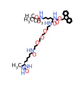 C[C@@H]1NC(=O)N[C@@H]1CCCCCC(=O)NCCCOCCOCCOCCCNC(=O)C(CCCCNC(=O)OC(C)(C)C)NC(=O)OCC1c2ccccc2-c2ccccc21